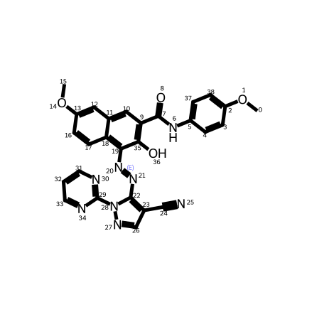 COc1ccc(NC(=O)c2cc3cc(OC)ccc3c(/N=N/c3c(C#N)cnn3-c3ncccn3)c2O)cc1